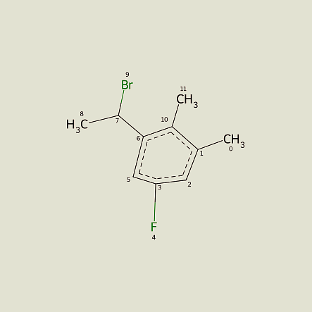 Cc1cc(F)cc(C(C)Br)c1C